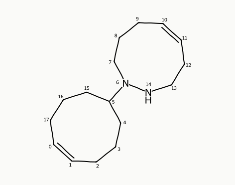 C1=C\CCCC(N2CCC/C=C\CCN2)CCC/1